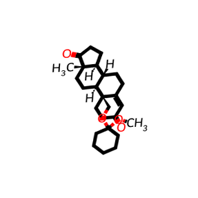 COC1(OC[C@]23CCC(=O)C=C2CC[C@@H]2[C@@H]3CC[C@]3(C)C(=O)CC[C@@H]23)CCCCC1